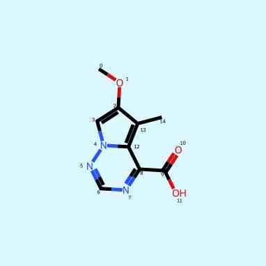 COc1cn2ncnc(C(=O)O)c2c1C